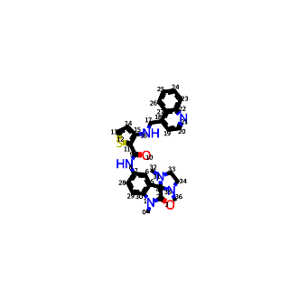 CN1C(=O)C2(c3cc(NC(=O)c4sccc4NCc4ccnc5ccccc45)ccc31)N(C)CCN2C